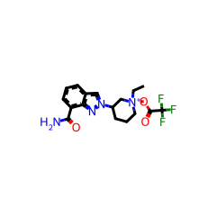 CC[N+]1(OC(=O)C(F)(F)F)CCCC(n2cc3cccc(C(N)=O)c3n2)C1